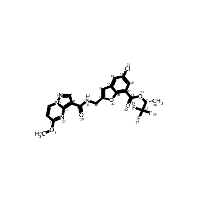 COc1ccn2ncc(C(=O)NCc3cc4cc(Cl)cc(C(=O)O[C@H](C)C(F)(F)F)c4o3)c2n1